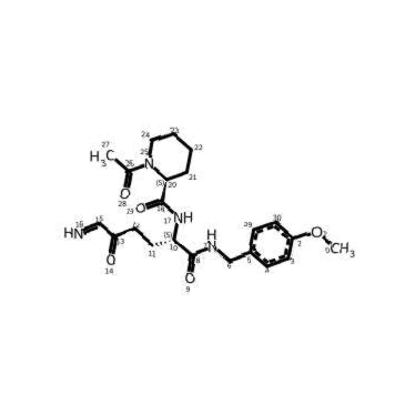 COc1ccc(CNC(=O)[C@H](CCC(=O)C=N)NC(=O)[C@@H]2CCCCN2C(C)=O)cc1